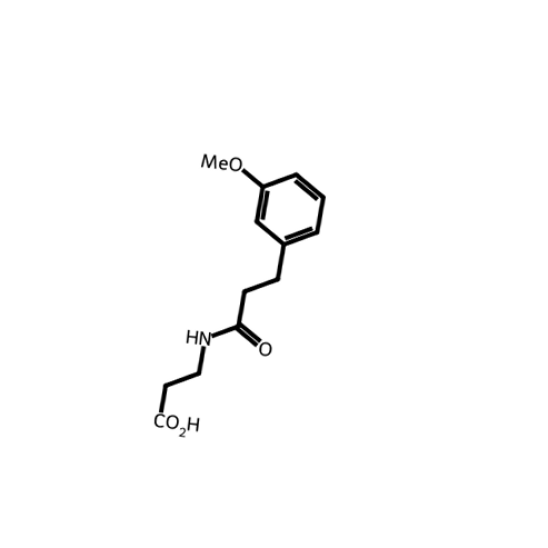 COc1cccc(CCC(=O)NCCC(=O)O)c1